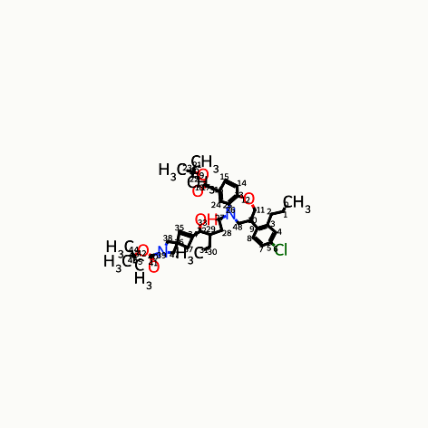 CCCc1cc(Cl)ccc1C1COc2ccc(C(=O)OC(C)(C)C)cc2N(CCC(CC)C(O)C2=CC3(C2)CN(C(=O)OC(C)(C)C)C3)C1